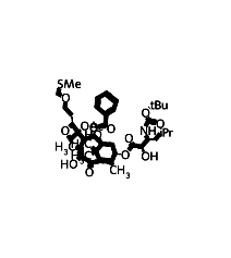 CSCOCC[C@H]1OC[C@@]1(OC(C)=O)C1/C(C)=C(/O)C(=O)C2=C(C)[C@@H](OC(=O)[C@H](O)[C@H](CC(C)C)NC(=O)OC(C)(C)C)C[C@@](O)([C@H]1OC(=O)c1ccccc1)C2(C)C